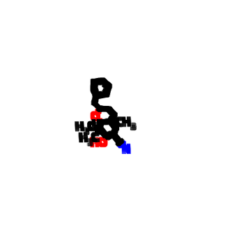 CC1(C)C(O)=C(C#N)C[C@]2(C)CC[C@H](Cc3ccccc3)O[C@@H]12